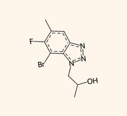 Cc1cc2nnn(CC(C)O)c2c(Br)c1F